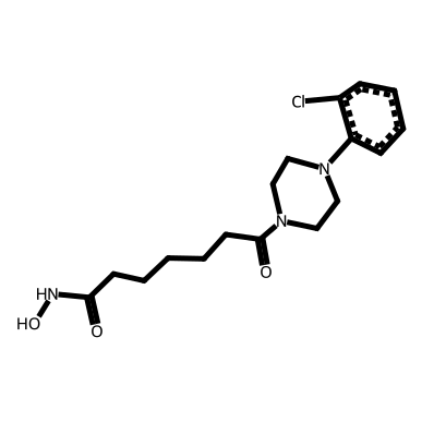 O=C(CCCCCC(=O)N1CCN(c2ccccc2Cl)CC1)NO